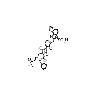 CC(C)Cc1cccc2c1nc(Cn1cccc(NC(=O)C(CCC=CC(=O)N(C)C)NC(=O)OCc3ccccc3)c1=O)n2C(=O)O